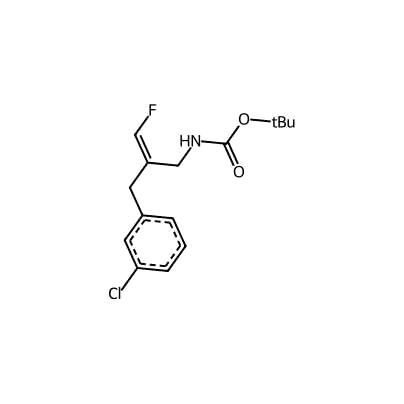 CC(C)(C)OC(=O)NC/C(=C\F)Cc1cccc(Cl)c1